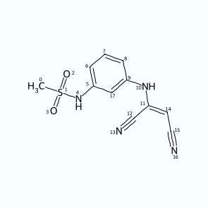 CS(=O)(=O)Nc1cccc(NC(C#N)=CC#N)c1